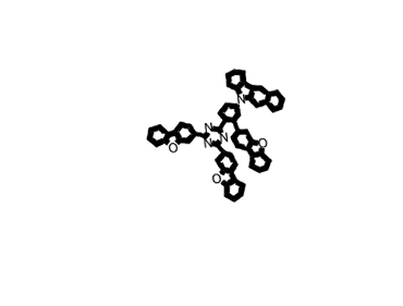 c1ccc2cc3c(cc2c1)c1ccccc1n3-c1ccc(-c2nc(-c3ccc4c(c3)oc3ccccc34)nc(-c3ccc4c(c3)oc3ccccc34)n2)c(-c2ccc3c(c2)oc2ccccc23)c1